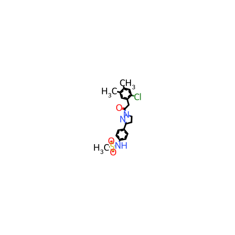 Cc1cc(Cl)c(CC(=O)N2CCC(c3ccc(NS(C)(=O)=O)cc3)=N2)cc1C